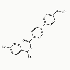 CCCOc1ccc(-c2ccc(C(=O)OC(CC)c3ccc(CC)cc3)cc2)cc1